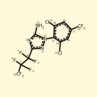 Nc1nc(C(F)(F)C(F)(F)C(F)(F)F)nn1-c1c(Cl)cc(C(F)(F)F)cc1Cl